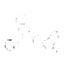 Nc1ncc(NC(=O)C(=O)N(Cc2ccccc2)CC2CCCCO2)c2[nH]ncc12